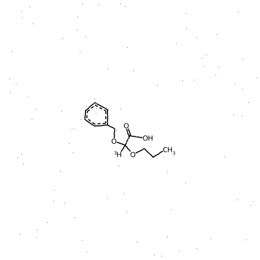 [3H]C(OCCC)(OCc1ccccc1)C(=O)O